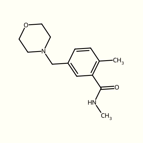 CNC(=O)c1cc(CN2CCOCC2)ccc1C